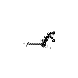 CCCCCCCCCCCCCCNC(=O)[C@H]1CN(C(=O)c2cccc(C(=O)N3C[C@@H](C(=O)N[C@H]4C[C@@H]4c4ccccc4)[C@H](C(=O)N[C@H]4C[C@@H]4c4ccccc4)C3)c2)CCN1C(C)=O